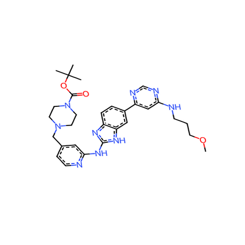 COCCCNc1cc(-c2ccc3nc(Nc4cc(CN5CCN(C(=O)OC(C)(C)C)CC5)ccn4)[nH]c3c2)ncn1